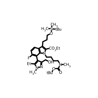 CCOC(=O)c1c(CCCO[Si](C)(C)C(C)(C)C)c2ccc(F)c(-c3c(CO)nn(C)c3CC)c2n1CCCCN(C)C(=O)OC(C)(C)C